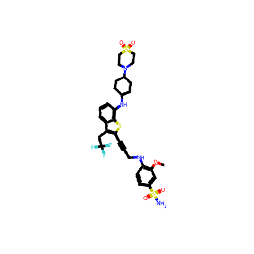 COc1cc(S(N)(=O)=O)ccc1NCC#Cc1sc2c(NC3CCC(N4CCS(=O)(=O)CC4)CC3)cccc2c1CC(F)(F)F